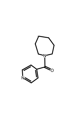 O=C(c1ccncc1)N1CC[CH]CCC1